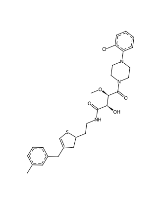 CO[C@@H](C(=O)N1CCN(c2ccccc2Cl)CC1)[C@@H](O)C(=O)NCCC1CC(Cc2cccc(C)c2)=CS1